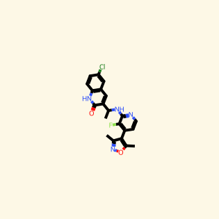 Cc1noc(C)c1-c1ccnc(NC(C)c2cc3cc(Cl)ccc3[nH]c2=O)c1F